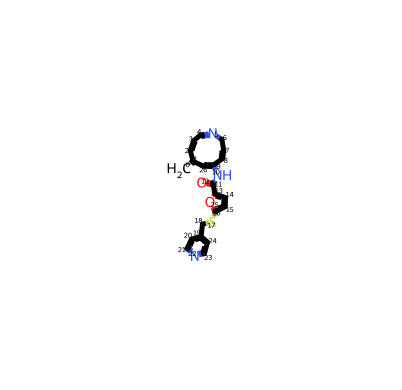 C=C1/C=C\C=N/C/C=C\C(NC(=O)c2ccc(SCc3ccncc3)o2)=C/1